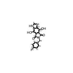 O=C1c2c(c(O)c3[nH]cnc3c2O)C(=O)N1Cc1ccc(F)cc1